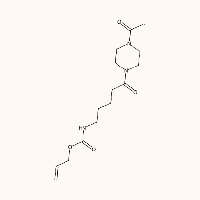 [CH2]C(=O)N1CCN(C(=O)CCCCNC(=O)OCC=C)CC1